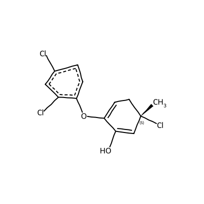 C[C@@]1(Cl)C=C(O)C(Oc2ccc(Cl)cc2Cl)=CC1